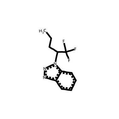 CCCC(n1nnc2ccccc21)C(F)(F)F